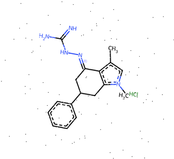 Cc1cn(C)c2c1/C(=N/NC(=N)N)CC(c1ccccc1)C2.Cl